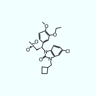 CCOc1cc([C@H](CS(C)(=O)=O)n2c(=O)n(CC3CCC3)c3cc(Cl)ccc32)ccc1OC